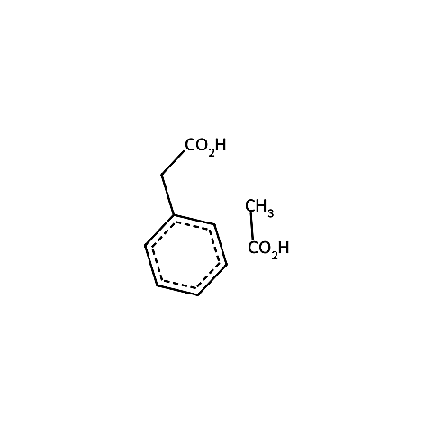 CC(=O)O.O=C(O)Cc1ccccc1